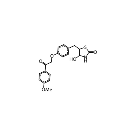 COc1ccc(C(=O)COc2ccc(CC3SC(=O)NC3O)cc2)cc1